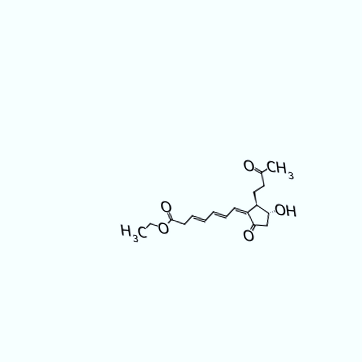 CCOC(=O)C/C=C/C=C/C=C1\C(=O)C[C@@H](O)[C@@H]1CCC(C)=O